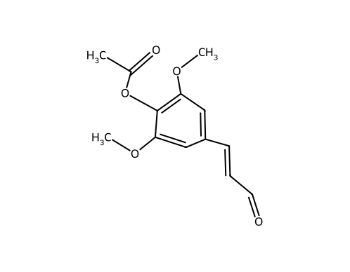 COc1cc(C=CC=O)cc(OC)c1OC(C)=O